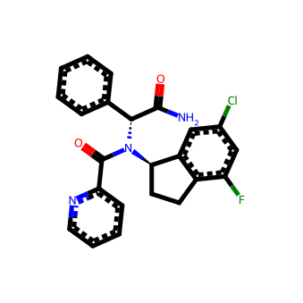 NC(=O)[C@@H](c1ccccc1)N(C(=O)c1ccccn1)[C@@H]1CCc2c(F)cc(Cl)cc21